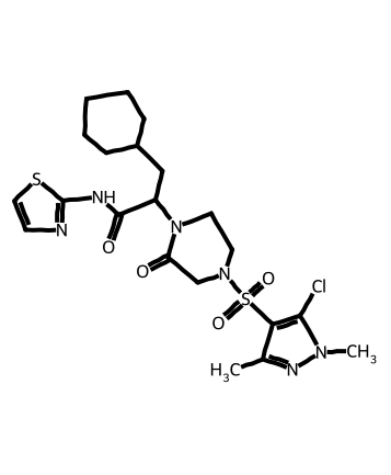 Cc1nn(C)c(Cl)c1S(=O)(=O)N1CCN(C(CC2CCCCC2)C(=O)Nc2nccs2)C(=O)C1